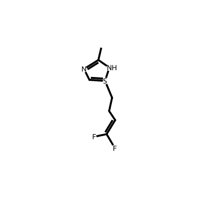 CC1=NC=S(CCC=C(F)F)N1